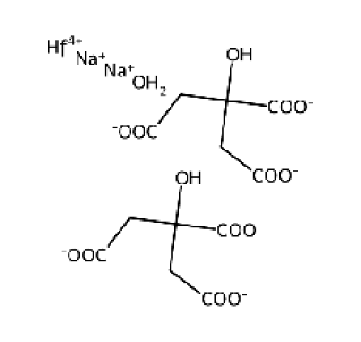 O.O=C([O-])CC(O)(CC(=O)[O-])C(=O)[O-].O=C([O-])CC(O)(CC(=O)[O-])C(=O)[O-].[Hf+4].[Na+].[Na+]